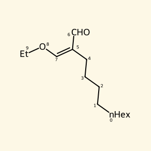 CCCCCCCCCCC(C=O)=COCC